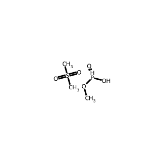 CO[PH](=O)O.CS(C)(=O)=O